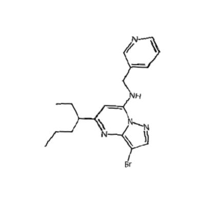 CCCC(CC)c1cc(NCc2cccnc2)n2ncc(Br)c2n1